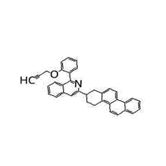 C#CCOc1ccccc1-c1nc(C2CCc3c(ccc4c3ccc3ccccc34)C2)cc2ccccc12